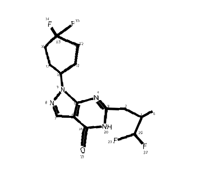 CC(Cc1nc2c(cnn2C2CCC(F)(F)CC2)c(=O)[nH]1)C(F)F